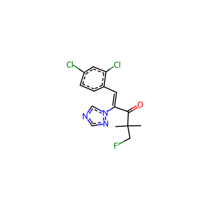 CC(C)(CF)C(=O)C(=Cc1ccc(Cl)cc1Cl)n1cncn1